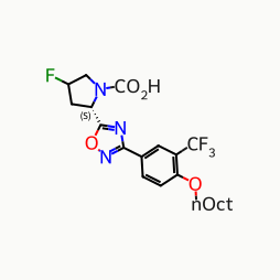 CCCCCCCCOc1ccc(-c2noc([C@@H]3CC(F)CN3C(=O)O)n2)cc1C(F)(F)F